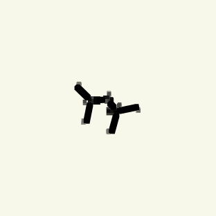 C[SiH](C)[Te][SiH](C)C